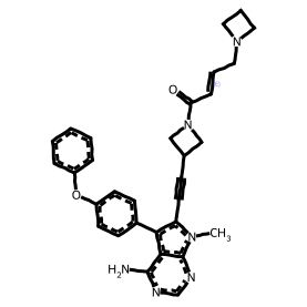 Cn1c(C#CC2CN(C(=O)/C=C/CN3CCC3)C2)c(-c2ccc(Oc3ccccc3)cc2)c2c(N)ncnc21